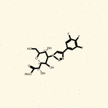 COC(=O)[C@@H](O)[C@@H]1OC(CO)[C@H](O)C(n2cc(-c3cc(F)c(F)c(F)c3)nn2)C1O